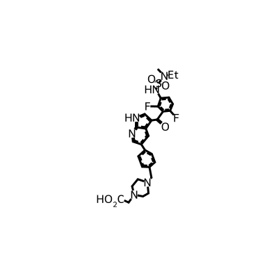 CCN(C)S(=O)(=O)Nc1ccc(F)c(C(=O)c2c[nH]c3ncc(-c4ccc(CN5CCN(CC(=O)O)CC5)cc4)cc23)c1F